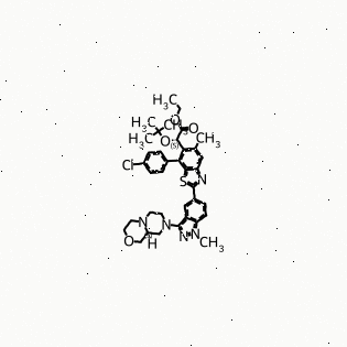 CCOC(=O)[C@@H](OC(C)(C)C)c1c(C)cc2nc(-c3ccc4c(c3)c(N3CCN5CCOC[C@@H]5C3)nn4C)sc2c1-c1ccc(Cl)cc1